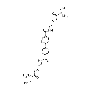 N[C@@H](CS)C(=O)SSCCNC(=O)c1ccc(-c2ccc(C(=O)NCCSSC(=O)[C@@H](N)CS)cn2)nc1